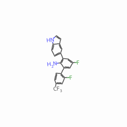 Nc1c(-c2ccc3[nH]ccc3c2)cc(F)cc1-c1ccc(C(F)(F)F)cc1F